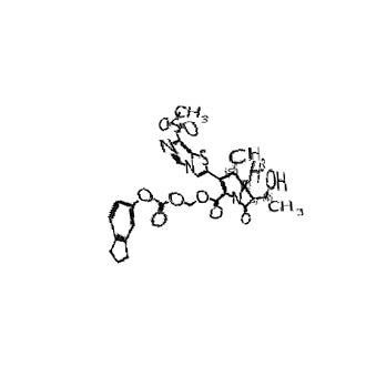 C[C@@H](O)[C@H]1C(=O)N2C(C(=O)OCOC(=O)Oc3ccc4c(c3)CCC4)=C(c3cn4cnc(S(C)(=O)=O)c4s3)[C@H](C)[C@H]12